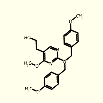 COc1ccc(CN(Cc2ccc(OC)cc2)c2ncc(CCO)c(OC)n2)cc1